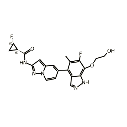 Cc1c(F)c(OCCO)c2[nH]ncc2c1-c1ccn2nc(NC(=O)[C@@H]3C[C@@H]3F)cc2c1